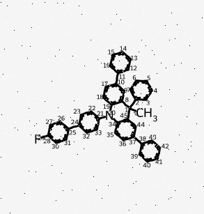 CC1(c2ccccc2)c2cc(-c3ccccc3)ccc2N(c2ccc(-c3ccc(F)cc3)cc2)c2ccc(-c3ccccc3)cc21